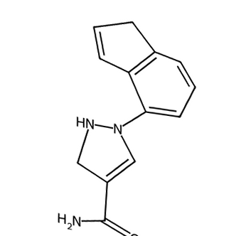 NC(=O)C1=CN(c2cccc3c2C=CC3)NC1